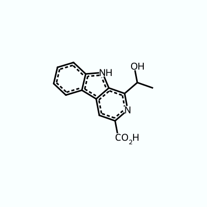 CC(O)c1nc(C(=O)O)cc2c1[nH]c1ccccc12